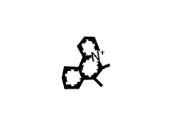 Cc1c(C)[n+]2ccccc2c2ccccc12